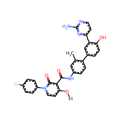 CCOc1ccn(-c2ccc(F)cc2)c(=O)c1C(=O)Nc1ccc(-c2ccc(O)c(-c3ccnc(N)n3)c2)c(C)c1